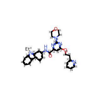 CCn1c2ccccc2c2ccc(NC(=O)c3cc(OCCc4ccccn4)nc(N4CCOCC4)n3)cc21